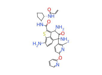 C=CC(=O)N[C@H]1CCC[C@H]1NC(=O)c1sc2c(N)ccc3c2c1C(N)C(=O)C3(N)c1ccc(Oc2ccccn2)nc1C